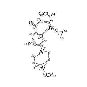 CN1CC2CC1CN(c1cc3c(cc1F)c(=O)c(C(=O)O)cn3C1CC1)C2